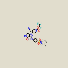 CN(C)S(=O)(=O)c1ccc(Nc2nn(C3(CC#N)CCN(C(=O)OC(F)C(F)F)CC3)c3cc[nH]c(=O)c23)cc1